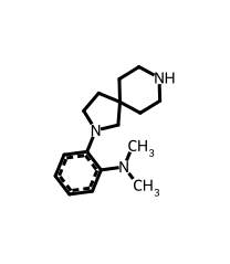 CN(C)c1ccccc1N1CCC2(CCNCC2)C1